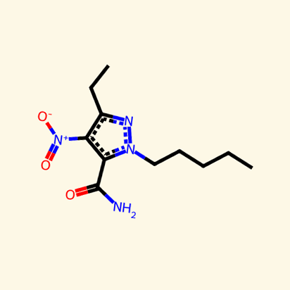 CCCCCn1nc(CC)c([N+](=O)[O-])c1C(N)=O